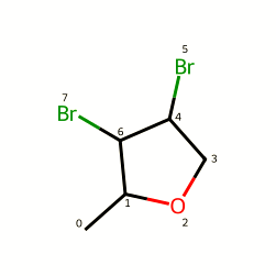 CC1OCC(Br)C1Br